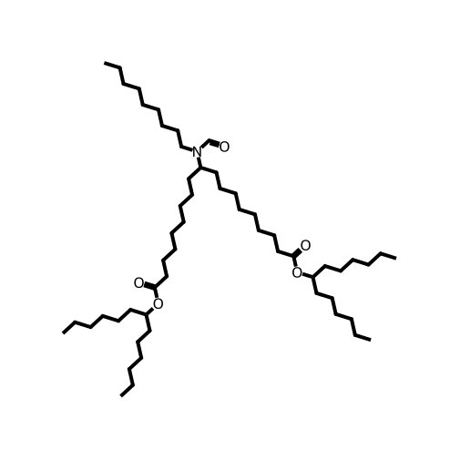 CCCCCCCCCN(C=O)C(CCCCCCCCC(=O)OC(CCCCCC)CCCCCC)CCCCCCCCC(=O)OC(CCCCCC)CCCCCC